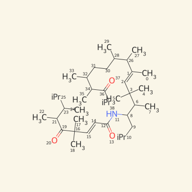 C/C(=C\C(C)(C)C(C)C(CC(C)C)NC(=O)/C=C/C(C)(C)C(=O)C(C)C(C)C(C)C)C(C)C(C)CCC(C)C(C)C(=O)C(C)C